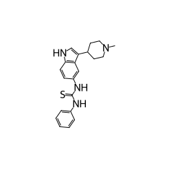 CN1CCC(c2c[nH]c3ccc(NC(=S)Nc4ccccc4)cc23)CC1